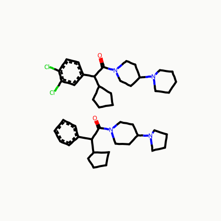 O=C(C(c1ccc(Cl)c(Cl)c1)C1CCCC1)N1CCC(N2CCCCC2)CC1.O=C(C(c1ccccc1)C1CCCC1)N1CCC(N2CCCC2)CC1